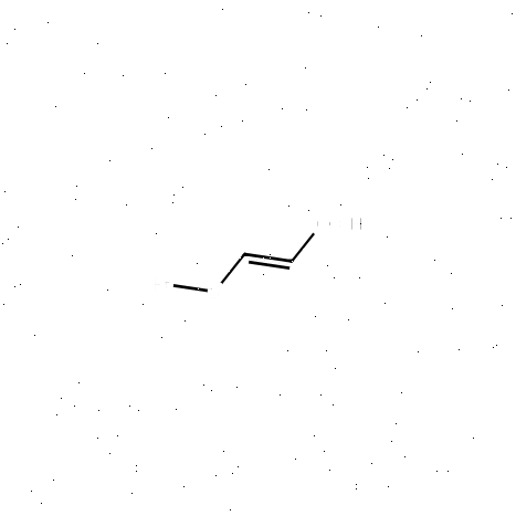 CCS/C=C/C(=O)O